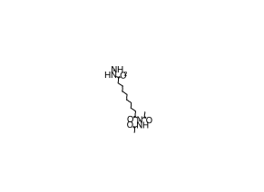 CC(=O)NN(C(C)=O)C(=O)CCCCCCCCC(=O)NN